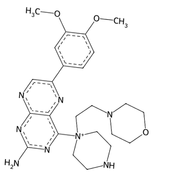 COc1ccc(-c2cnc3nc(N)nc([N+]4(CCN5CCOCC5)CCNCC4)c3n2)cc1OC